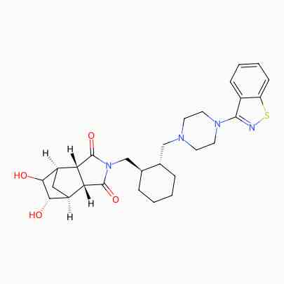 O=C1[C@@H]2[C@@H]3C[C@@H](C(O)[C@H]3O)[C@@H]2C(=O)N1C[C@@H]1CCCC[C@H]1CN1CCN(c2nsc3ccccc23)CC1